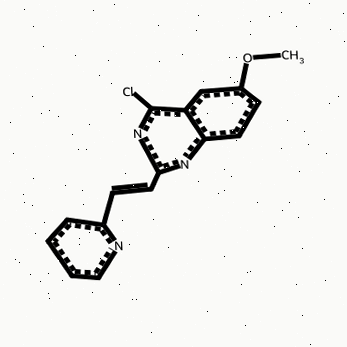 COc1ccc2nc(C=Cc3ccccn3)nc(Cl)c2c1